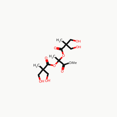 COC(=O)C(C)(OC(=O)C(C)(CO)CO)OC(=O)C(C)(CO)CO